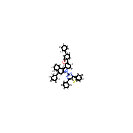 c1ccc(-c2ccc3c(c2)oc2c3ccc3c2c2c4ccccc4c(-c4ccccc4)cc2n3-c2nc(-c3ccccc3)c3sc4ccccc4c3n2)cc1